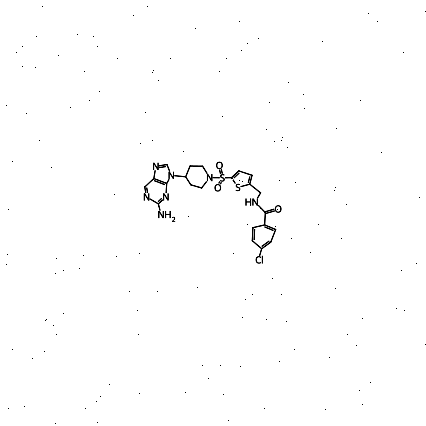 Nc1ncc2ncn(C3CCN(S(=O)(=O)c4ccc(CNC(=O)c5ccc(Cl)cc5)s4)CC3)c2n1